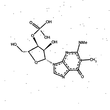 CNc1nc2c(ncn2[C@@H]2O[C@H](CO)[C@@H](OP(=O)(O)O)[C@H]2O)c(=O)n1C